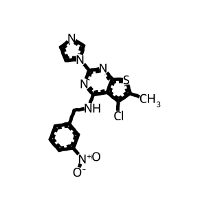 Cc1sc2nc(-n3ccnc3)nc(NCc3cccc([N+](=O)[O-])c3)c2c1Cl